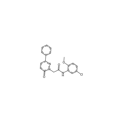 COc1ccc(Cl)cc1NC(=O)Cn1nc(-c2ccccc2)ccc1=O